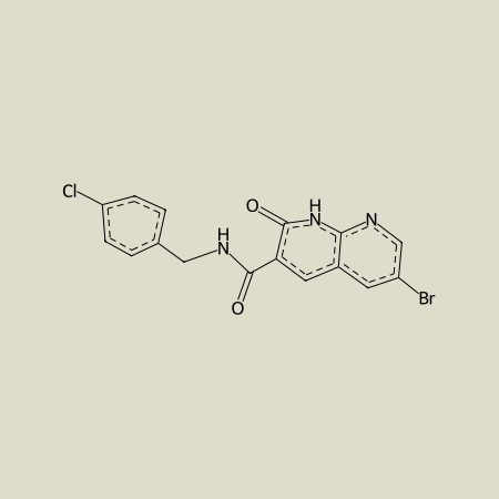 O=C(NCc1ccc(Cl)cc1)c1cc2cc(Br)cnc2[nH]c1=O